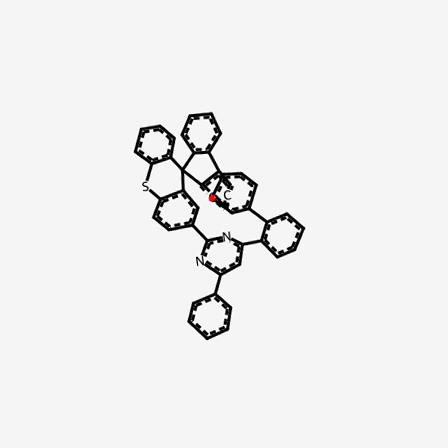 c1ccc(-c2cc(-c3ccccc3-c3ccccc3)nc(-c3ccc4c(c3)C3(c5ccccc5S4)c4ccccc4-c4ccccc43)n2)cc1